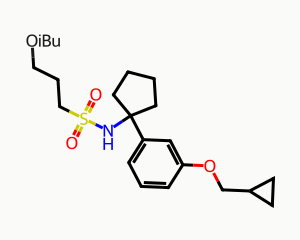 CC(C)COCCCS(=O)(=O)NC1(c2cccc(OCC3CC3)c2)CCCC1